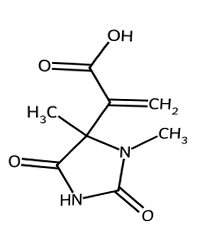 C=C(C(=O)O)C1(C)C(=O)NC(=O)N1C